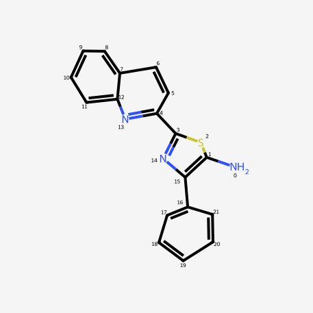 Nc1sc(-c2ccc3ccccc3n2)nc1-c1ccccc1